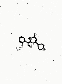 O=c1cc(C2CCNCC2)n2ncc(-c3ccccc3OC(F)(F)F)c2[nH]1